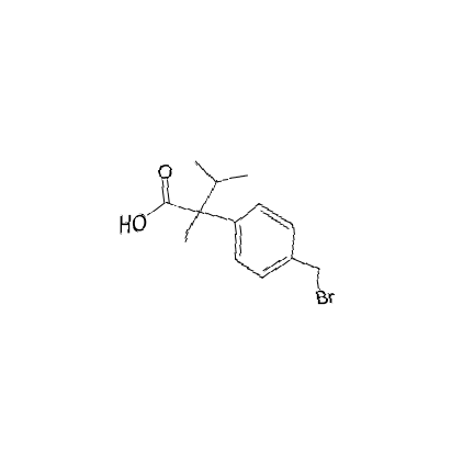 CC(C)C(C)(C(=O)O)c1ccc(CBr)cc1